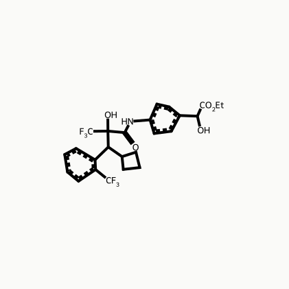 CCOC(=O)C(O)c1ccc(NC(=O)C(O)(C(c2ccccc2C(F)(F)F)C2CCC2)C(F)(F)F)cc1